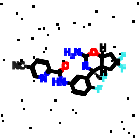 N#Cc1ccc(C(=O)Nc2ccc(F)c([C@@]3(CF)N=C(N)O[C@@H]4CC(F)(F)C[C@@H]43)c2)nc1